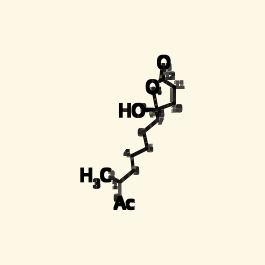 CC(=O)C(C)CCCCC[C@@]1(O)C=CC(=O)O1